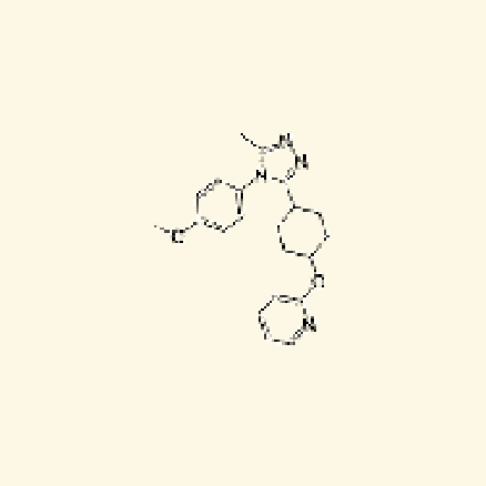 COc1ccc(-n2c(C)nnc2C2CCC(Oc3ccccn3)CC2)cc1